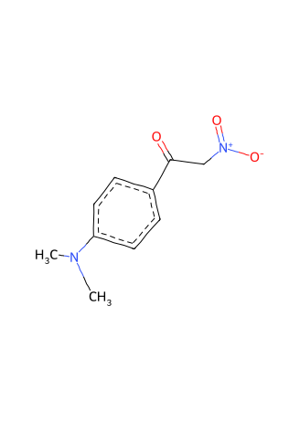 CN(C)c1ccc(C(=O)C[N+](=O)[O-])cc1